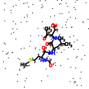 CSCCC(NC=O)C(=O)NC(CC(C)C)C(=O)NC(CO)C(C)=O